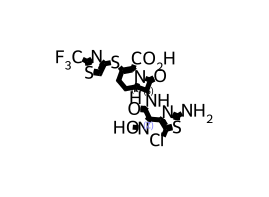 Nc1nc(/C(=N/O)C(=O)N[C@@H]2C(=O)N3C(C(=O)O)=C(Sc4csc(C(F)(F)F)n4)CC[C@H]23)c(Cl)s1